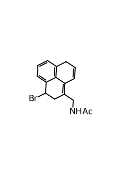 CC(=O)NCC1=C2C=CCc3cccc(c32)C(Br)C1